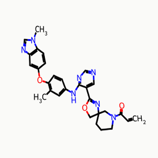 C=CC(=O)N1CCCC2(COC(c3cncnc3Nc3ccc(Oc4ccc5c(c4)ncn5C)c(C)c3)=N2)C1